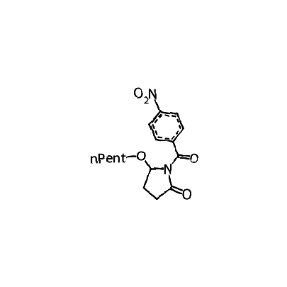 CCCCCOC1CCC(=O)N1C(=O)c1ccc([N+](=O)[O-])cc1